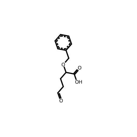 O=CCCC(OCc1ccccc1)C(=O)O